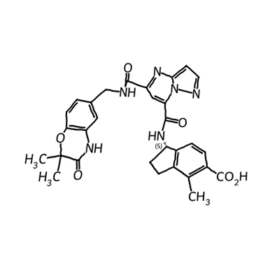 Cc1c(C(=O)O)ccc2c1CC[C@@H]2NC(=O)c1cc(C(=O)NCc2ccc3c(c2)NC(=O)C(C)(C)O3)nc2ccnn12